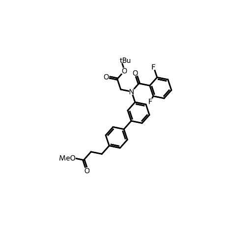 COC(=O)CCc1ccc(-c2cccc(N(CC(=O)OC(C)(C)C)C(=O)c3c(F)cccc3F)c2)cc1